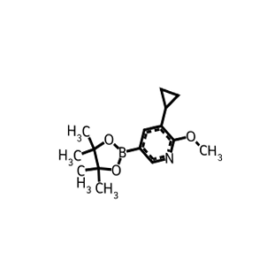 COc1ncc(B2OC(C)(C)C(C)(C)O2)cc1C1CC1